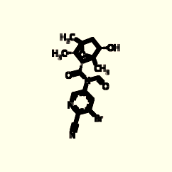 C[C@H]1[C@@H](C(=O)N(C=O)c2cnc(C#N)c(Br)c2)C2(C)OC1(C)C[C@@H]2O